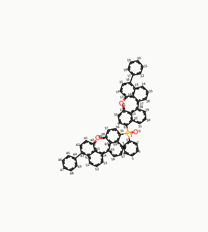 O=P(c1ccccc1)(c1ccc2oc3ccc(-c4ccccc4)c4cccc(c5cccc1c25)c34)c1ccc2oc3ccc(-c4ccccc4)c4cccc(c5cccc1c25)c34